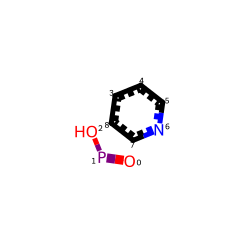 O=PO.c1ccncc1